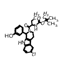 CCC(NC(=O)OC(C)(C)C)C(=O)N1CCc2c([nH]c3ccc(Cl)cc23)C1c1cccc(O)c1